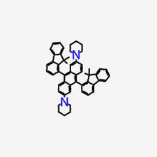 CC1(C)c2ccccc2-c2cccc(-c3c4ccc(N5CCCCC5)cc4c(-c4cccc5c4C(C)(C)c4ccccc4-5)c4ccc(N5CCCCC5)cc34)c21